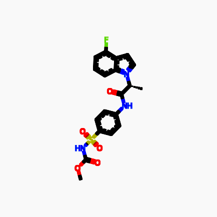 COC(=O)NS(=O)(=O)c1ccc(NC(=O)[C@@H](C)n2ccc3c(F)cccc32)cc1